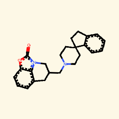 O=c1oc2cccc3c2n1CC(CN1CCC2(CCc4ccccc42)CC1)C3